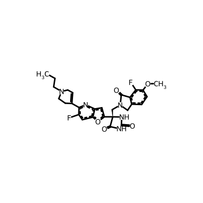 CCCN1CC=C(c2nc3cc([C@]4(CN5Cc6ccc(OC)c(F)c6C5=O)NC(=O)NC4=O)oc3cc2F)CC1